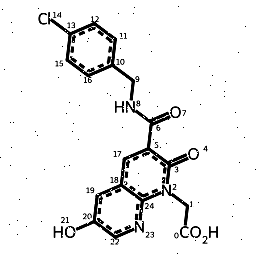 O=C(O)Cn1c(=O)c(C(=O)NCc2ccc(Cl)cc2)cc2cc(O)cnc21